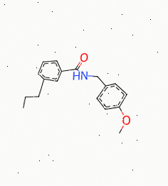 CCCc1cccc(C(=O)NCc2ccc(OC)cc2)c1